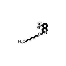 CCCCCCCCOCc1cc2c([N+](=O)[O-])cccc2cn1